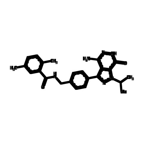 Cc1ccc(C)c(C(=O)NCc2ccc(-c3nn(C(C)C(C)(C)C)c4c(=O)[nH]nc(N)c34)cc2)c1